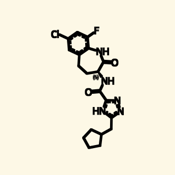 O=C(N[C@H]1CCc2cc(Cl)cc(F)c2NC1=O)c1nnc(CC2CCCC2)[nH]1